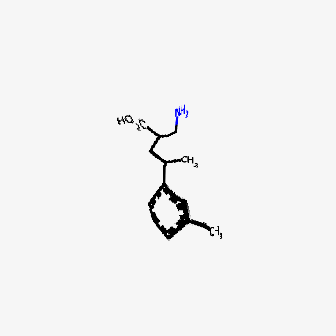 Cc1cccc(C(C)CC(CN)C(=O)O)c1